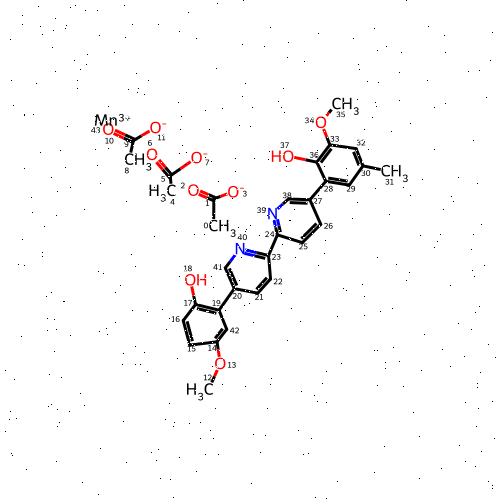 CC(=O)[O-].CC(=O)[O-].CC(=O)[O-].COc1ccc(O)c(-c2ccc(-c3ccc(-c4cc(C)cc(OC)c4O)cn3)nc2)c1.[Mn+3]